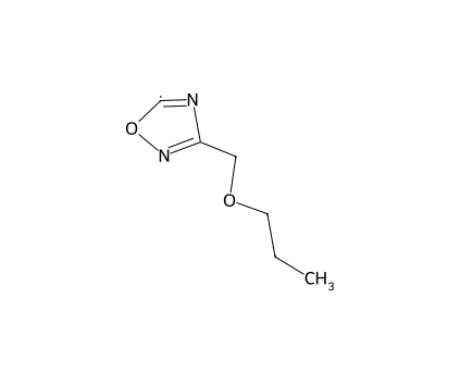 CCCOCc1n[c]on1